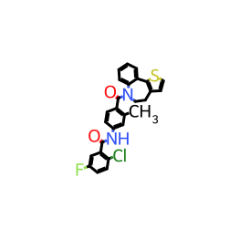 Cc1cc(NC(=O)c2cc(F)ccc2Cl)ccc1C(=O)N1CCc2ccsc2-c2ccccc21